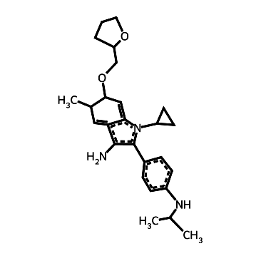 CC(C)Nc1ccc(-c2c(N)c3c(n2C2CC2)=CC(OCC2CCCO2)C(C)C=3)cc1